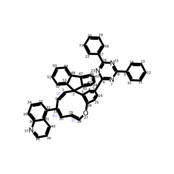 C1=C/C2(c3cc(-c4nc(-c5ccccc5)nc(-c5ccccc5)n4)ccc3O/C=C/C=C\1c1cccc3ncccc13)c1ccccc1-c1ccccc12